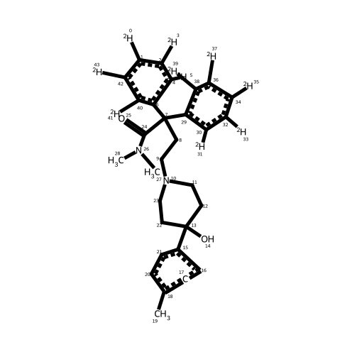 [2H]c1c([2H])c([2H])c(C(CCN2CCC(O)(c3ccc(C)cc3)CC2)(C(=O)N(C)C)c2c([2H])c([2H])c([2H])c([2H])c2[2H])c([2H])c1[2H]